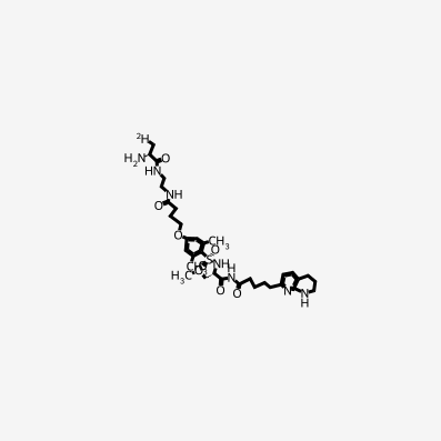 [2H]C[C@@H](N)C(=O)NCCNC(=O)CCCOc1cc(C)c(S(=O)(=O)N[C@@H](COC)C(=O)NC(=O)CCCCc2ccc3c(n2)NCCC3)c(C)c1